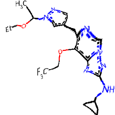 CCOC(C)n1cc(-c2ncn3nc(NC4CC4)nc3c2OCC(F)(F)F)cn1